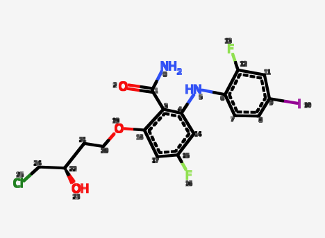 NC(=O)c1c(Nc2ccc(I)cc2F)cc(F)cc1OCC[C@@H](O)CCl